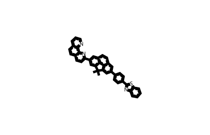 CC1(C)c2cc(-c3ccc(-c4nc5ccccc5s4)cc3)cc3ccc4cc(-c5ccc6ccc7cccnc7c6n5)cc1c4c23